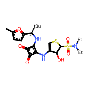 CCN(CC)S(=O)(=O)C1SC=C(Nc2c(N[C@@H](c3ccc(C)o3)C(C)(C)C)c(=O)c2=O)C1O